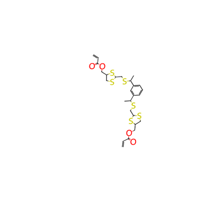 C=CC(=O)OCC1CSC(CSC(C)c2cccc(C(C)SCC3SCC(COC(=O)C=C)S3)c2)S1